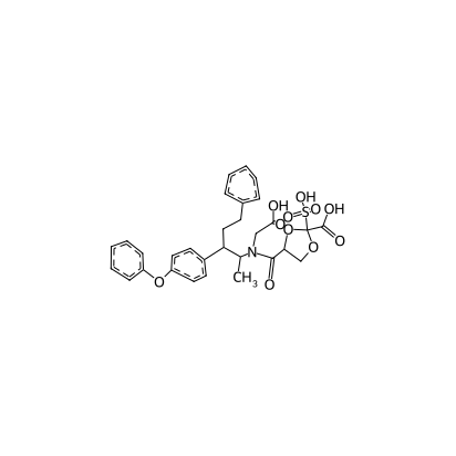 CC(C(CCc1ccccc1)c1ccc(Oc2ccccc2)cc1)N(CC(=O)O)C(=O)C1COC(C(=O)O)(S(=O)(=O)O)O1